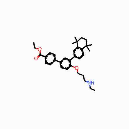 CCNCCCOc1ccc(-c2ccc(C(=O)OCC)cc2)cc1-c1ccc2c(c1)C(C)(C)CCC2(C)C